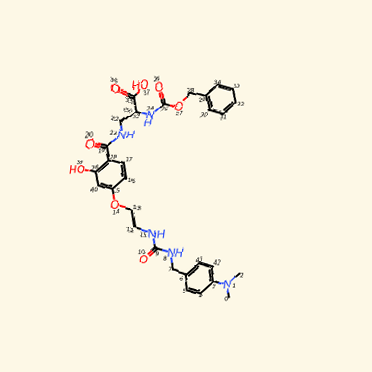 CN(C)c1ccc(CNC(=O)NCCOc2ccc(C(=O)NC[C@H](NC(=O)OCc3ccccc3)C(=O)O)c(O)c2)cc1